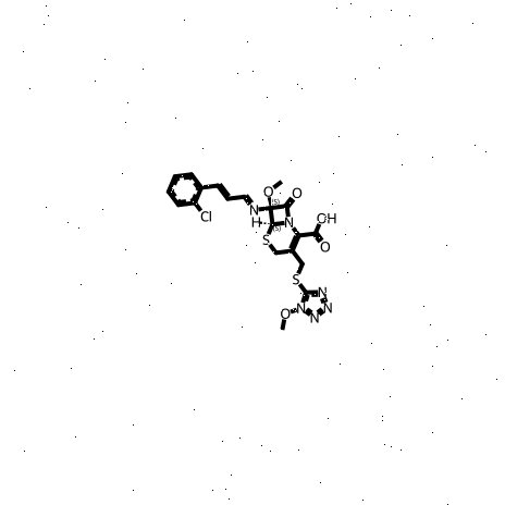 COn1nnnc1SCC1=C(C(=O)O)N2C(=O)[C@](N=CC=Cc3ccccc3Cl)(OC)[C@@H]2SC1